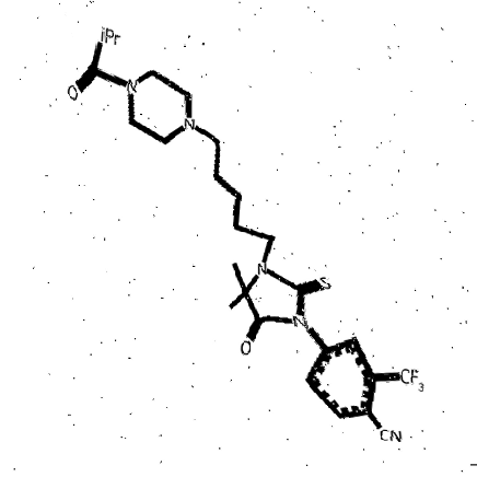 CC(C)C(=O)N1CCN(CCCCCN2C(=S)N(c3ccc(C#N)c(C(F)(F)F)c3)C(=O)C2(C)C)CC1